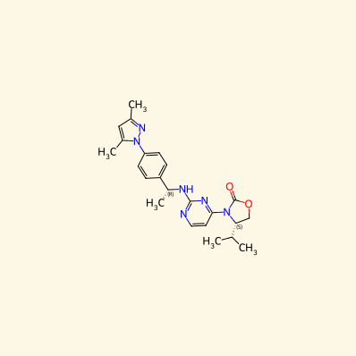 Cc1cc(C)n(-c2ccc([C@@H](C)Nc3nccc(N4C(=O)OC[C@@H]4C(C)C)n3)cc2)n1